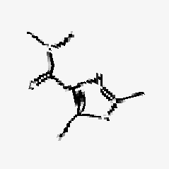 Cc1nc(C(=O)N(C)C)c(C)s1